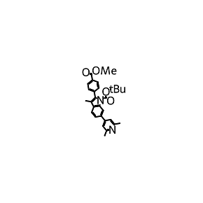 COC(=O)c1ccc(-c2c(C)c3ccc(-c4cc(C)nc(C)c4)cc3n2C(=O)OC(C)(C)C)cc1